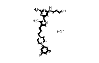 Cc1c(C=CCN2CCN(c3cc(F)cc(F)c3)CC2)cnn1-c1cc(NCCCO)nc(N)n1.Cl